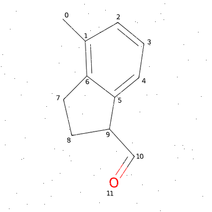 Cc1cccc2c1CCC2C=O